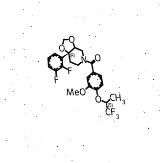 COc1cc(C(=O)N2CC[C@]3(c4cccc(F)c4F)OCOC3C2)ccc1O[C@@H](C)C(F)(F)F